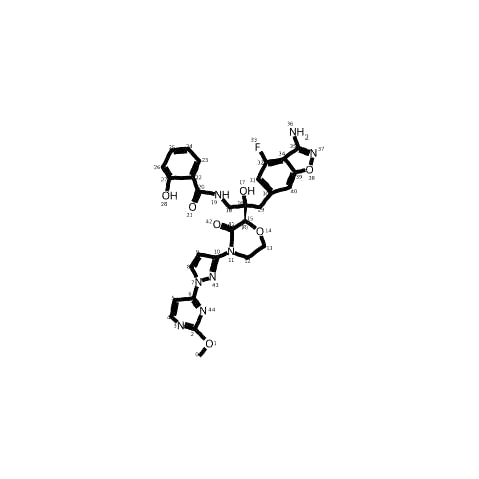 COc1nccc(-n2ccc(N3CCO[C@H](C(O)(CNC(=O)c4ccccc4O)Cc4cc(F)c5c(N)noc5c4)C3=O)n2)n1